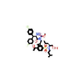 COC(=O)N(C(=O)[C@@H](N)C(c1ccc(F)cc1)c1ccc(F)cc1)[C@H](CCC[C@@H](CO)N(CCC(C)C)S(=O)(=O)c1ccc(C(C)=O)cc1)C1CC1